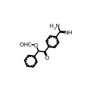 N=C(N)c1ccc(C(=O)C(O[C]=O)c2ccccc2)cc1